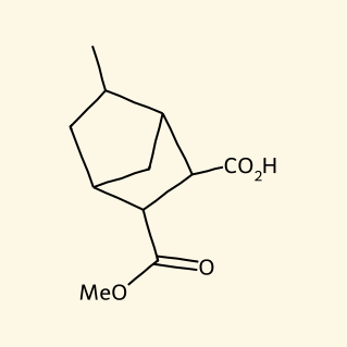 COC(=O)C1C2CC(C)C(C2)C1C(=O)O